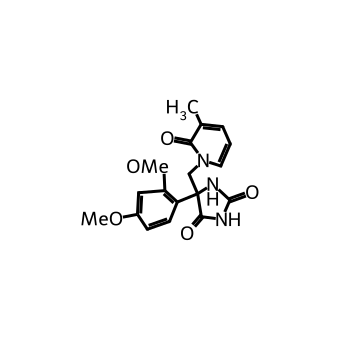 COc1ccc(C2(Cn3cccc(C)c3=O)NC(=O)NC2=O)c(OC)c1